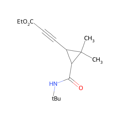 CCOC(=O)C#CC1C(C(=O)NC(C)(C)C)C1(C)C